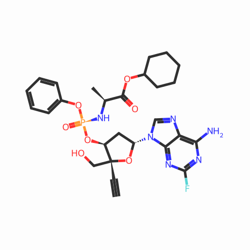 C#C[C@]1(CO)O[C@@H](n2cnc3c(N)nc(F)nc32)C[C@@H]1O[P@@](=O)(N[C@@H](C)C(=O)OC1CCCCC1)Oc1ccccc1